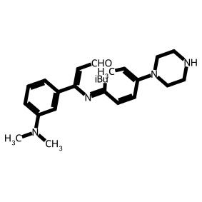 C\C=C(/C=C\C(=N\C(=C/C=O)c1cccc(N(C)C)c1)C(C)CC)N1CCNCC1